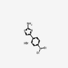 Br.CCN(CC)c1ccc(-c2csc(N)n2)cc1